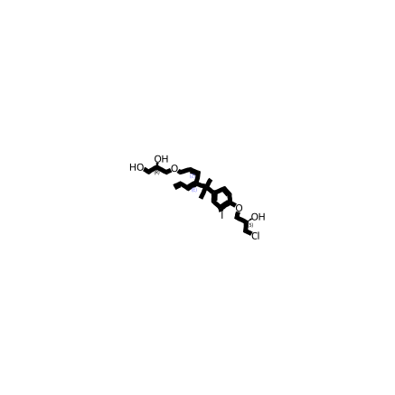 C=C/C=C(\C=C/COC[C@H](O)CO)C(C)(C)c1ccc(OC[C@H](O)CCl)c(I)c1